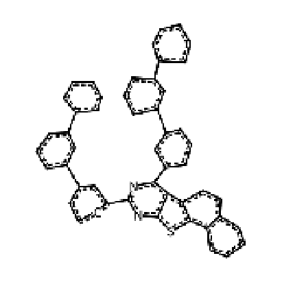 c1ccc(-c2cccc(-c3cccc(-c4nc(-c5cccc(-c6cccc(-c7ccccc7)c6)c5)c5c(n4)sc4c6ccccc6ccc45)c3)c2)cc1